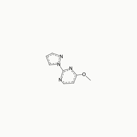 COc1ccnc(-n2cccn2)n1